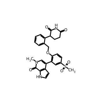 Cn1cc(-c2cc(S(C)(=O)=O)ccc2OCc2ccccc2C2CCC(=O)NC2=O)c2cc[nH]c2c1=O